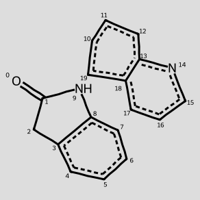 O=C1Cc2ccccc2N1.c1ccc2ncccc2c1